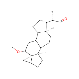 CO[C@@H]1CC2C3CC[C@H]([C@H](C)C=O)[C@@]3(C)CCC2[C@@]2(C)CCC3C[C@]312